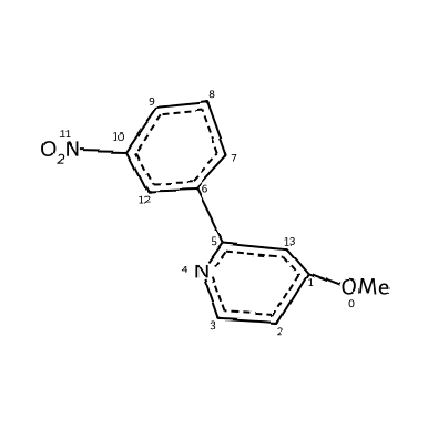 COc1ccnc(-c2cccc([N+](=O)[O-])c2)c1